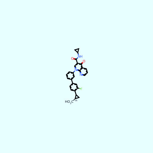 O=C(NC1CC1)c1cn(-c2cccc(-c3ccc(C4C[C@H]4C(=O)O)c(F)c3)c2)c2ncccc2c1=O